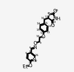 CCOc1ccc(C=NOCCOc2ccc(CC3SC(=O)NC3=O)cc2)cn1